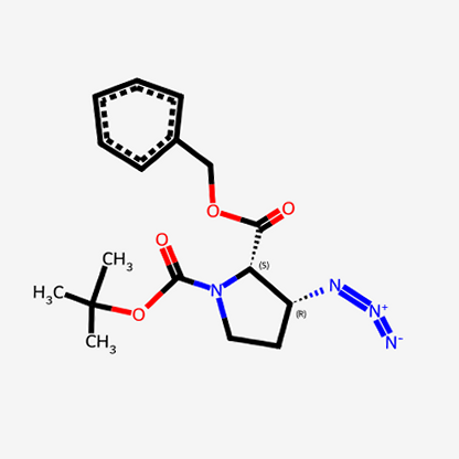 CC(C)(C)OC(=O)N1CC[C@@H](N=[N+]=[N-])[C@H]1C(=O)OCc1ccccc1